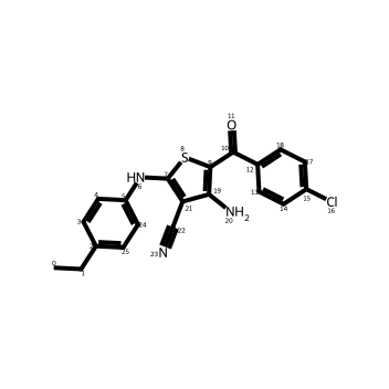 CCc1ccc(Nc2sc(C(=O)c3ccc(Cl)cc3)c(N)c2C#N)cc1